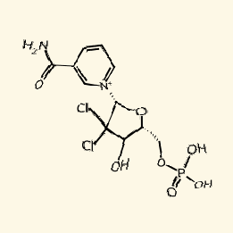 NC(=O)c1ccc[n+]([C@@H]2O[C@H](COP(=O)(O)O)C(O)C2(Cl)Cl)c1